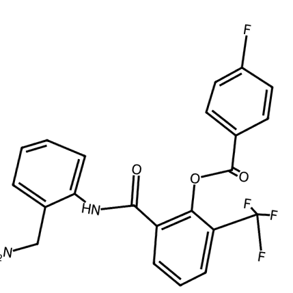 NCc1ccccc1NC(=O)c1cccc(C(F)(F)F)c1OC(=O)c1ccc(F)cc1